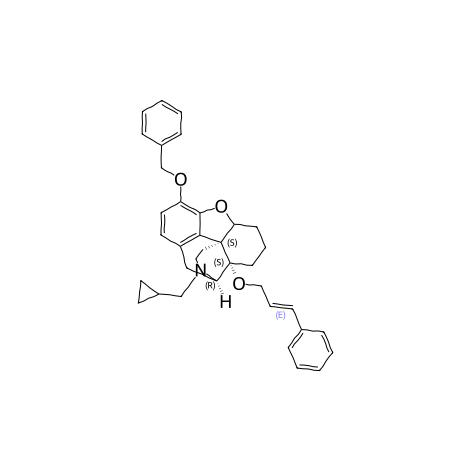 C(=C\c1ccccc1)/CO[C@@]12CCCC3Oc4c(OCc5ccccc5)ccc5c4[C@@]31CCN(CC1CC1)[C@@H]2C5